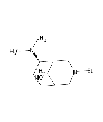 CCN1CC2CC[C@@H](N(C)C)C(C1)[C@@H]2O